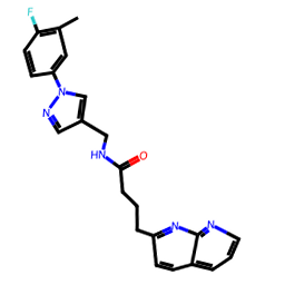 Cc1cc(-n2cc(CNC(=O)CCCc3ccc4cccnc4n3)cn2)ccc1F